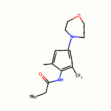 Cc1cc(N2CCOCC2)cc(C(F)(F)F)c1NC(=O)CC(C)(C)C